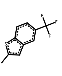 Cc1[c]c2cc(C(F)(F)F)ccc2s1